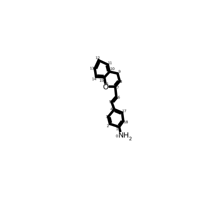 Nc1ccc(C=CC2=CCc3ccccc3O2)cc1